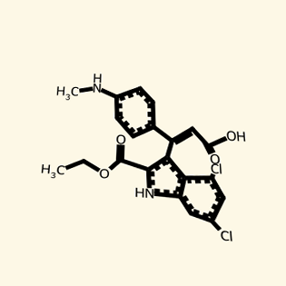 CCOC(=O)c1[nH]c2cc(Cl)cc(Cl)c2c1/C(=C\C(=O)O)c1ccc(NC)cc1